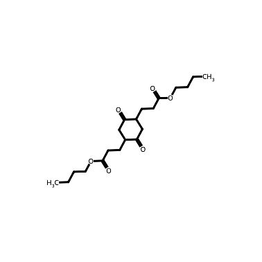 CCCCOC(=O)CCC1CC(=O)C(CCC(=O)OCCCC)CC1=O